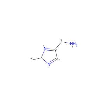 CC1N=CC(CN)=N1